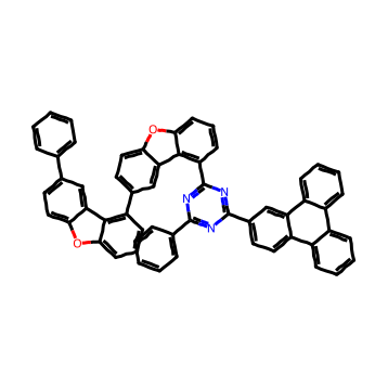 c1ccc(-c2ccc3oc4cccc(-c5ccc6oc7cccc(-c8nc(-c9ccccc9)nc(-c9ccc%10c%11ccccc%11c%11ccccc%11c%10c9)n8)c7c6c5)c4c3c2)cc1